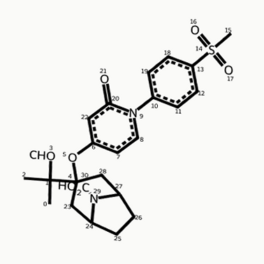 CC(C)(C=O)C1(Oc2ccn(-c3ccc(S(C)(=O)=O)cc3)c(=O)c2)CC2CCC(C1)N2C(=O)O